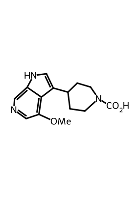 COc1cncc2[nH]cc(C3CCN(C(=O)O)CC3)c12